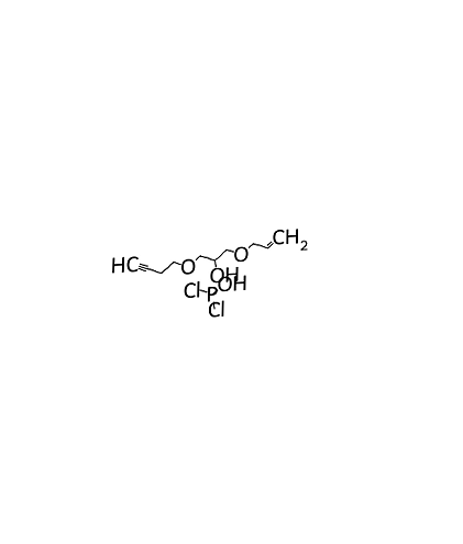 C#CCCOCC(O)COCC=C.OP(Cl)Cl